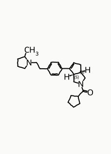 CC1CCCN1CCc1ccc(C2=CC[C@@H]3CN(C(=O)C4CCCC4)C[C@H]23)cc1